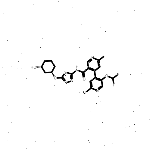 Cc1cc(-c2cc(Cl)ncc2OC(F)F)c(C(=O)Nc2nnc(O[C@@H]3CCC[C@H](O)C3)s2)cn1